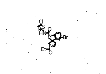 CCC(=O)N1CCC2(C1)CN(C(=O)Nc1ncc(Cl)s1)c1ccc(Br)cc12